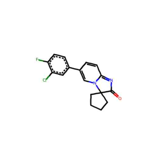 O=C1N=C2C=CC(c3ccc(F)c(Cl)c3)=CN2C12CCCC2